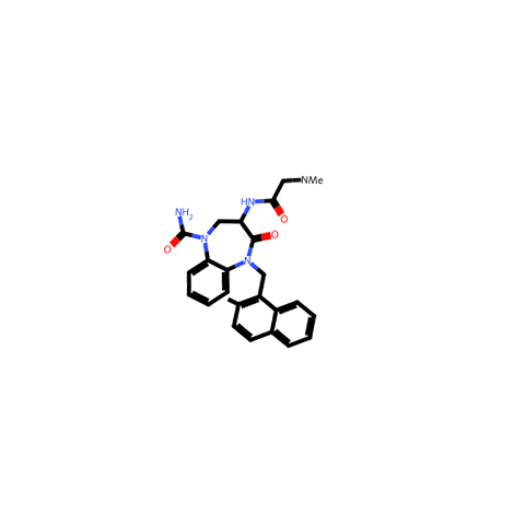 CNCC(=O)NC1CN(C(N)=O)c2ccccc2N(Cc2c(C)ccc3ccccc23)C1=O